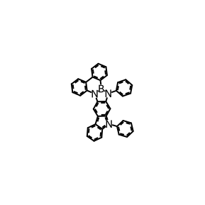 c1ccc(N2B3c4ccccc4-c4ccccc4N3c3cc4c5ccccc5n(-c5ccccc5)c4cc32)cc1